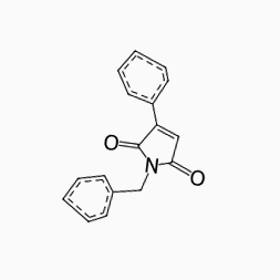 O=C1C=C(c2ccccc2)C(=O)N1Cc1ccccc1